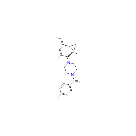 C=C(c1ccc(C)cc1)N1CCN(C(=C\C)/C(C)=C\C(=C/C)C2CC2)CC1